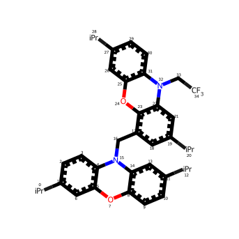 CC(C)c1ccc2c(c1)Oc1ccc(C(C)C)cc1N2Cc1cc(C(C)C)cc2c1Oc1cc(C(C)C)ccc1N2CC(F)(F)F